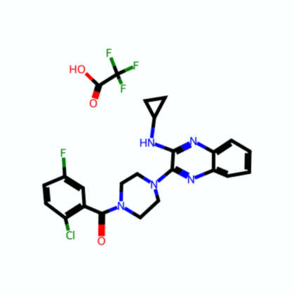 O=C(O)C(F)(F)F.O=C(c1cc(F)ccc1Cl)N1CCN(c2nc3ccccc3nc2NC2CC2)CC1